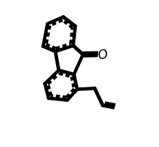 C=CCc1cccc2c1C(=O)c1ccccc1-2